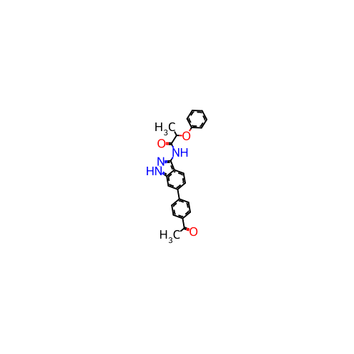 CC(=O)c1ccc(-c2ccc3c(NC(=O)C(C)Oc4ccccc4)n[nH]c3c2)cc1